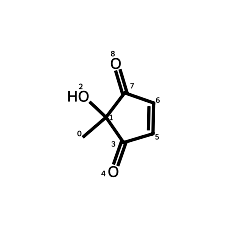 CC1(O)C(=O)C=CC1=O